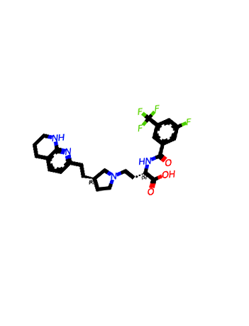 O=C(N[C@@H](CCN1CC[C@@H](CCc2ccc3c(n2)NCCC3)C1)C(=O)O)c1cc(F)cc(C(F)(F)F)c1